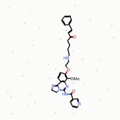 COc1c(OCCNCCCCC(=O)/C=C/c2ccccc2)ccc2c1N=C(NC(=O)c1cccnc1)N1CCN=C21